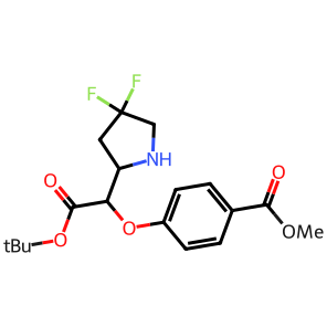 COC(=O)c1ccc(OC(C(=O)OC(C)(C)C)C2CC(F)(F)CN2)cc1